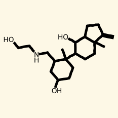 C=C1CCC2C(O)C(C3(C)CCC(O)CC3CNCCO)CCC12C